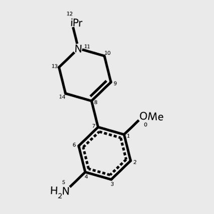 COc1ccc(N)cc1C1=CCN(C(C)C)CC1